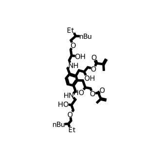 C=C(C)C(=O)OCC(O)Cc1c(CNCC(O)COCC(CC)CCCC)ccc(CNCC(O)COCC(CC)CCCC)c1CC(O)COC(=O)C(=C)C